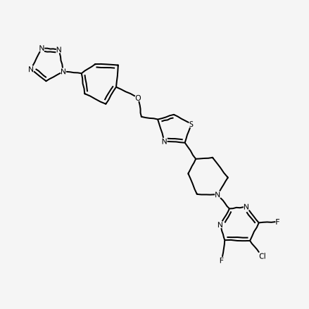 Fc1nc(N2CCC(c3nc(COc4ccc(-n5cnnn5)cc4)cs3)CC2)nc(F)c1Cl